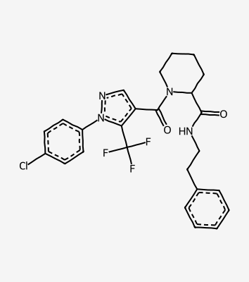 O=C(NCCc1ccccc1)C1CCCCN1C(=O)c1cnn(-c2ccc(Cl)cc2)c1C(F)(F)F